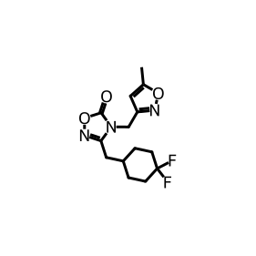 Cc1cc(Cn2c(CC3CCC(F)(F)CC3)noc2=O)no1